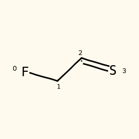 FC[C]=S